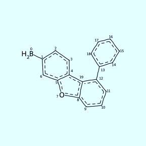 Bc1ccc2c(c1)oc1cccc(-c3ccccc3)c12